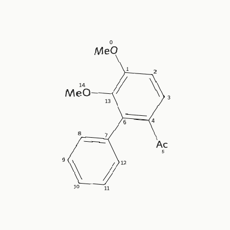 COc1ccc(C(C)=O)c(-c2ccccc2)c1OC